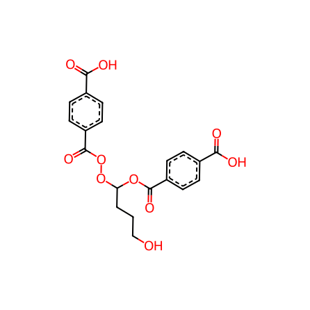 O=C(O)c1ccc(C(=O)OOC(CCCO)OC(=O)c2ccc(C(=O)O)cc2)cc1